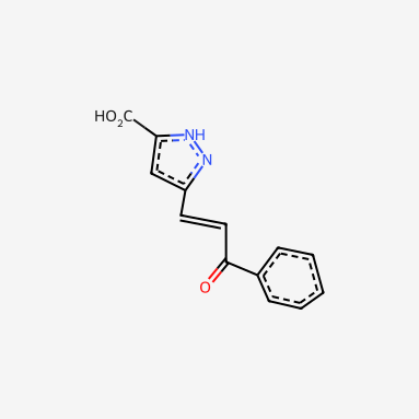 O=C(C=Cc1cc(C(=O)O)[nH]n1)c1ccccc1